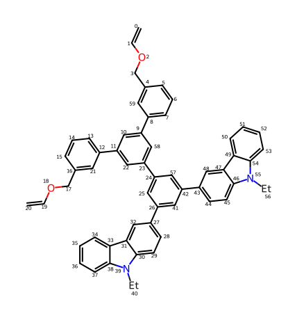 C=COCc1cccc(-c2cc(-c3cccc(COC=C)c3)cc(-c3cc(-c4ccc5c(c4)c4ccccc4n5CC)cc(-c4ccc5c(c4)c4ccccc4n5CC)c3)c2)c1